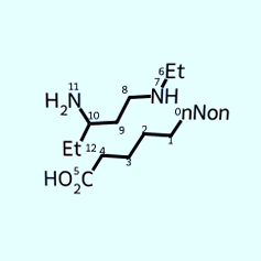 CCCCCCCCCCCCCC(=O)O.CCNCCC(N)CC